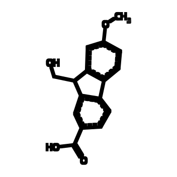 COc1ccc2c(c1)C(CO)c1cc(C(=O)O)ccc1-2